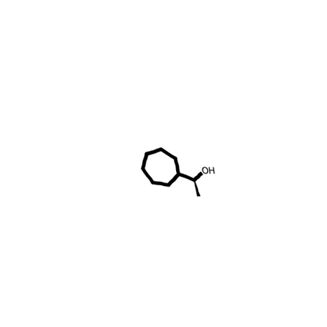 C[C@H](O)C1CCCCCC1